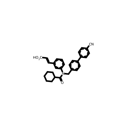 N#Cc1ccc(-c2ccc(CN(C(=O)C3CCCCC3)c3cccc(C=CC(=O)O)c3)cc2)cc1